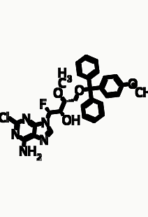 COc1ccc(C(OC[C@@H](OC)[C@@H](O)[C@H](F)n2cnc3c(N)nc(Cl)nc32)(c2ccccc2)c2ccccc2)cc1